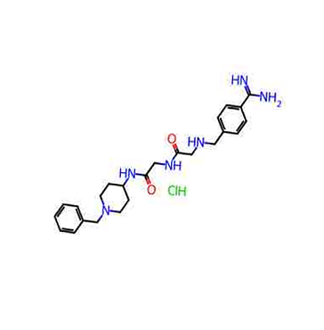 Cl.N=C(N)c1ccc(CNCC(=O)NCC(=O)NC2CCN(Cc3ccccc3)CC2)cc1